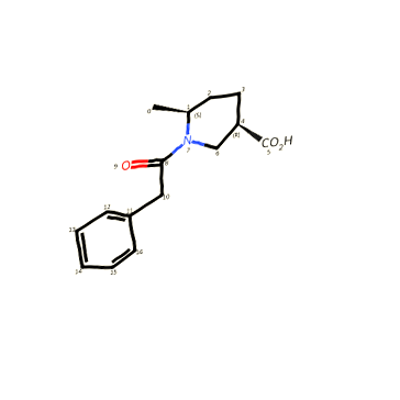 C[C@H]1CC[C@@H](C(=O)O)CN1C(=O)Cc1ccccc1